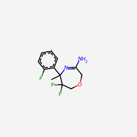 CC1(c2c[c]ccc2F)N=C(N)COCC1(F)F